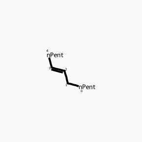 [CH2]CCCCCC=CCCCCC